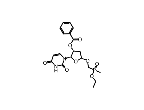 CCOP(C)(=O)CO[C@@H]1C[C@H](OC(=O)c2ccccc2)[C@H](n2ccc(=O)[nH]c2=O)O1